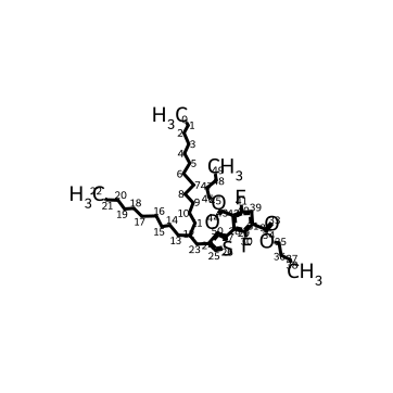 CCCCCCCCCCCCC(CCCCCCCCCC)Cc1csc(-c2c(F)c(C(=O)OCCCC)cc(F)c2C(=O)OCCCC)c1